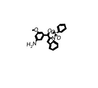 COc1cc(N)cc(C(=O)c2cc3ccccc3n2S(=O)(=O)c2ccccc2)c1